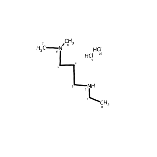 CCNCCCN(C)C.Cl.Cl